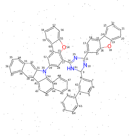 c1ccc(-c2cccc(C3N=C(c4ccc5c(c4)oc4ccccc45)N=C(c4cc(-n5c6cc7ccccc7cc6c6ccc7ccccc7c65)cc5c4oc4ccccc45)N3)c2)cc1